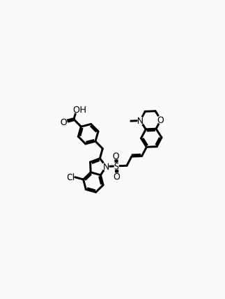 CN1CCOc2ccc(C=CCS(=O)(=O)n3c(Cc4ccc(C(=O)O)cc4)cc4c(Cl)cccc43)cc21